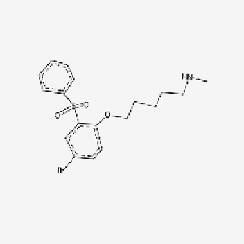 CNCCCCCOc1ccc(Br)cc1S(=O)(=O)c1ccccc1